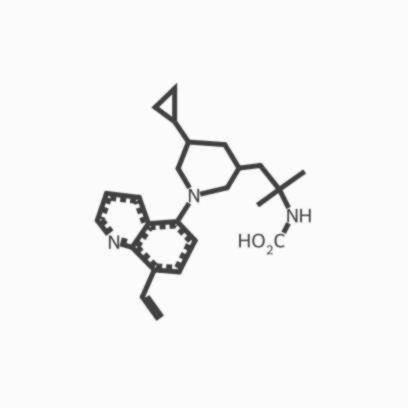 C=Cc1ccc(N2CC(CC(C)(C)NC(=O)O)CC(C3CC3)C2)c2cccnc12